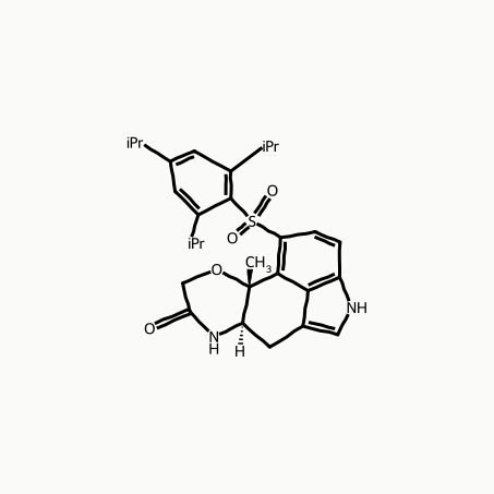 CC(C)c1cc(C(C)C)c(S(=O)(=O)c2ccc3[nH]cc4c3c2[C@@]2(C)OCC(=O)N[C@@H]2C4)c(C(C)C)c1